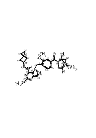 COc1cc(C(=O)N2C[C@@H]3C[C@H]2CN3C)ccc1Cn1ncc2nc(N)nc(NCC3CC4(CC4)C3)c21